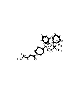 CC(C)(C)[Si](OCC1CCN(C(=O)CCC(=O)O)CC1)(c1ccccc1)c1ccccc1